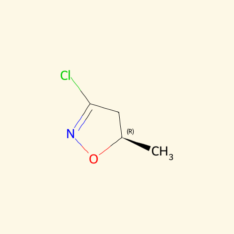 C[C@@H]1CC(Cl)=NO1